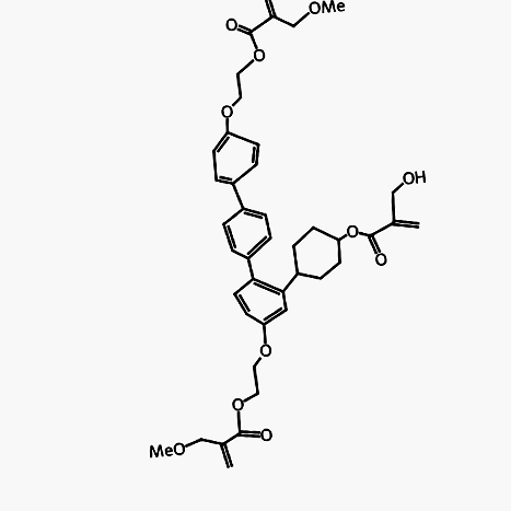 C=C(COC)C(=O)OCCOc1ccc(-c2ccc(-c3ccc(OCCOC(=O)C(=C)COC)cc3C3CCC(OC(=O)C(=C)CO)CC3)cc2)cc1